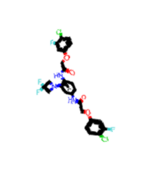 O=C(COc1ccc(Cl)c(F)c1)NC12CCC(NC(=O)COc3ccc(Cl)c(F)c3)(CC1)C(N1CC(F)(F)C1)C2